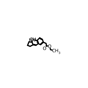 CCOC(=O)Cc1ccc2c(c1)C=C1CCCC1(C)N2